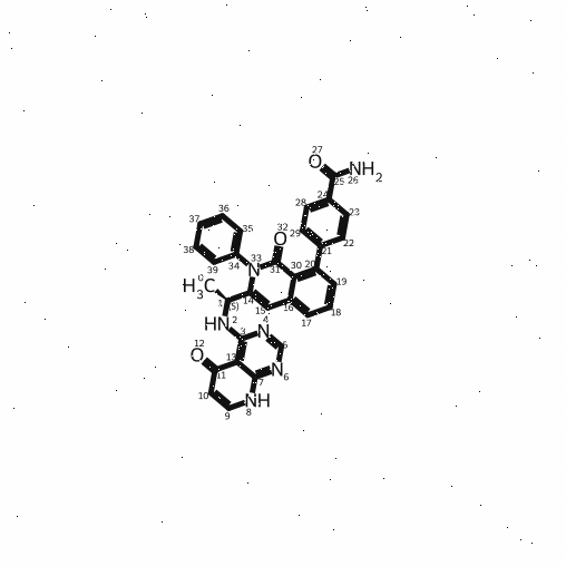 C[C@H](Nc1ncnc2[nH]ccc(=O)c12)c1cc2cccc(-c3ccc(C(N)=O)cc3)c2c(=O)n1-c1ccccc1